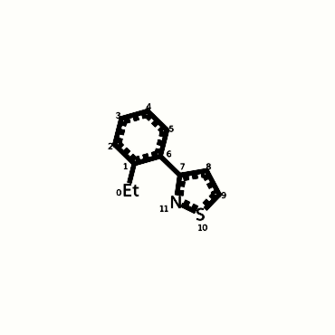 CCc1ccccc1-c1ccsn1